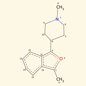 Cc1oc(C2CCN(C)CC2)c2ccccc12